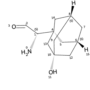 N[C@H]([C]=O)[C@]12C[C@@H]3C[C@H](C[C@@](O)(C3)C1)C2